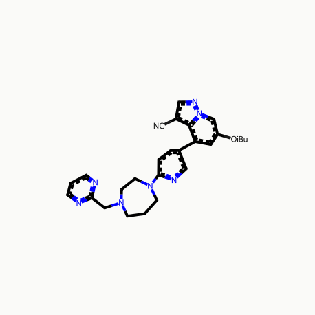 CC(C)COc1cc(-c2ccc(N3CCCN(Cc4ncccn4)CC3)nc2)c2c(C#N)cnn2c1